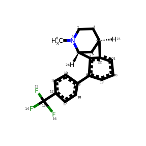 CN1CC[C@@H]2C[C@@H]1c1c(-c3ccc(C(F)(F)F)cc3)cccc12